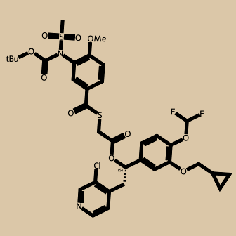 COc1ccc(C(=O)SCC(=O)O[C@@H](Cc2ccncc2Cl)c2ccc(OC(F)F)c(OCC3CC3)c2)cc1N(C(=O)OC(C)(C)C)S(C)(=O)=O